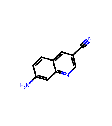 N#Cc1cnc2cc(N)ccc2c1